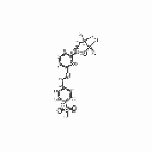 CC1(C)OB(c2cccc(OCc3ccc(S(C)(=O)=O)cc3)c2)OC1(C)C